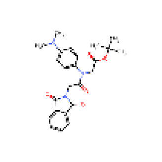 CN(C)c1ccc(N(CC(=O)OC(C)(C)C)C(=O)CN2C(=O)c3ccccc3C2=O)cc1